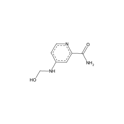 NC(=O)c1cc(NCO)ccn1